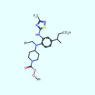 CC(C)CN(c1ccc(C(C)CC(=O)O)cc1Nc1nc(C(F)(F)F)ns1)C1CCN(C(=O)OOC(C)C)CC1